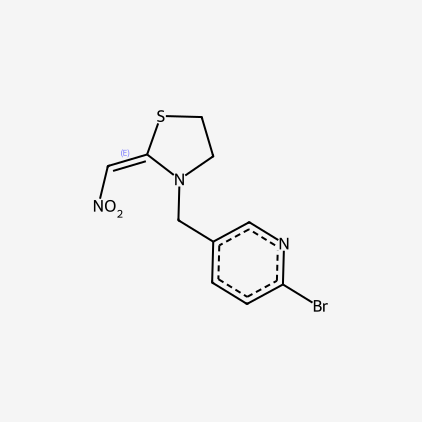 O=[N+]([O-])/C=C1/SCCN1Cc1ccc(Br)nc1